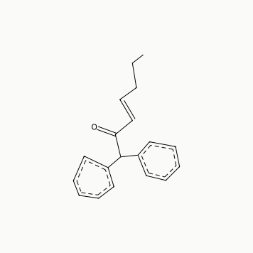 CCCC=CC(=O)C(c1ccccc1)c1ccccc1